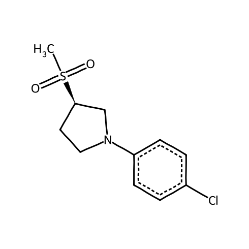 CS(=O)(=O)[C@@H]1CCN(c2ccc(Cl)cc2)C1